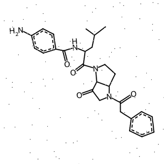 CC(C)CC(NC(=O)c1ccc(N)cc1)C(=O)N1CCC2C1C(=O)CN2C(=O)Cc1ccccc1